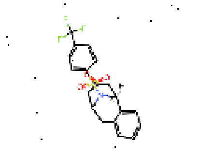 O=C1CC2Cc3ccccc3[C@H](C1)N2S(=O)(=O)c1ccc(C(F)(F)F)cc1